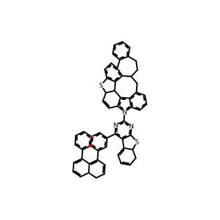 C1=CCC2Sc3nc(-n4c5c6c7c(cccc74)CC4CCc7ccccc7-c7ccc8c(c74)C6C(C=C5)S8)nc(-c4cccc(C5=C6C(c7ccccc7)=CC=CC6CC=C5)c4)c3C2=C1